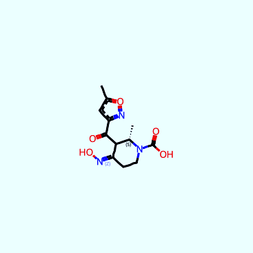 Cc1cc(C(=O)C2/C(=N\O)CCN(C(=O)O)[C@H]2C)no1